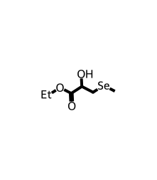 CCOC(=O)C(O)C[Se]C